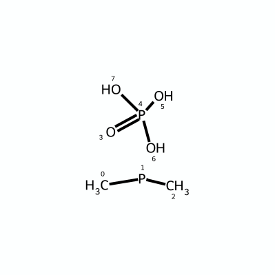 C[P]C.O=P(O)(O)O